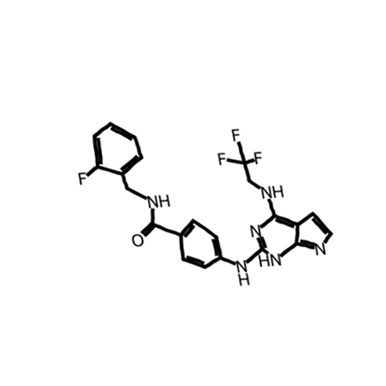 O=C(NCc1ccccc1F)c1ccc(Nc2nc(NCC(F)(F)F)c3ccnc-3[nH]2)cc1